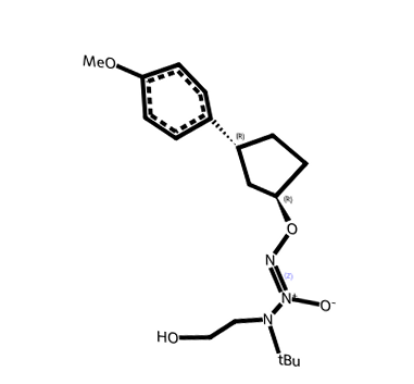 COc1ccc([C@@H]2CC[C@@H](O/N=[N+](\[O-])N(CCO)C(C)(C)C)C2)cc1